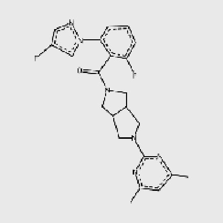 Cc1cc(C)nc(N2CC3CN(C(=O)c4c(F)cccc4-n4cc(F)cn4)CC3C2)n1